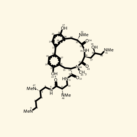 CNCCC[C@@H](CNC(=O)[C@H](CNC(=O)[C@@H]1Cc2cc(ccc2O)-c2ccc(O)c(c2)C[C@H](NC)C(=O)N[C@@H](C[C@@H](O)CNC)C(=O)N1C)NC)NC